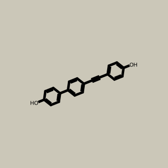 Oc1ccc(C#Cc2ccc(-c3ccc(O)cc3)cc2)cc1